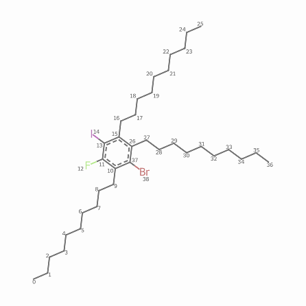 CCCCCCCCCCc1c(F)c(I)c(CCCCCCCCCC)c(CCCCCCCCCC)c1Br